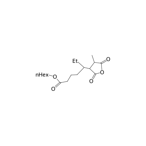 CCCCCCOC(=O)CCCC(CC)C1C(=O)OC(=O)C1C